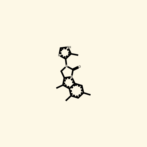 Cc1cc(C)c2c(C)c3n(c2c1)C(=O)N(c1nc[nH]c1C)C3